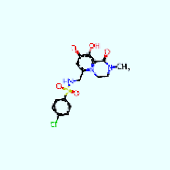 CN1CCn2c(CNS(=O)(=O)c3ccc(Cl)cc3)cc(=O)c(O)c2C1=O